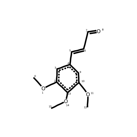 COc1cc(/C=C/[C]=O)cc(OC)c1OC